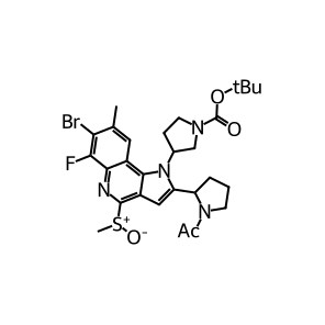 CC(=O)N1CCCC1c1cc2c([S+](C)[O-])nc3c(F)c(Br)c(C)cc3c2n1C1CCN(C(=O)OC(C)(C)C)C1